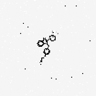 N#CCOc1ccc(Cn2c(N3CCC[C@@H](N)C3)nc3ccccc32)cc1